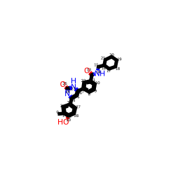 Cc1cc(-c2cc(-c3cccc(C(=O)NCC4CCCCC4)c3)[nH]c(=O)n2)ccc1O